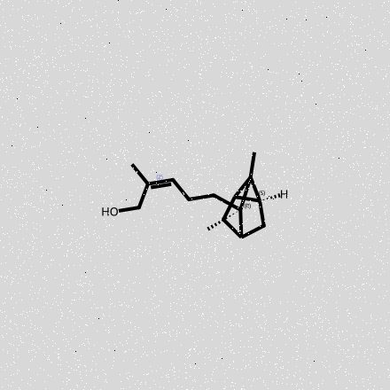 C/C(=C/CC[C@]1(C)C2CC3[C@H](C2)C31C)CO